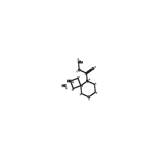 CC(C)(C)OC(=O)N1CCOCC12CNC2.Cl